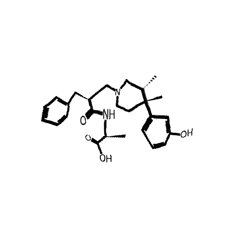 C[C@H](NC(=O)[C@@H](Cc1ccccc1)CN1CC[C@@](C)(c2cccc(O)c2)[C@@H](C)C1)C(=O)O